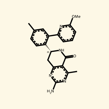 COc1cccc(-c2cc(C)ccc2[C@H]2Cc3nc(N)nc(C)c3C(=O)N2)n1